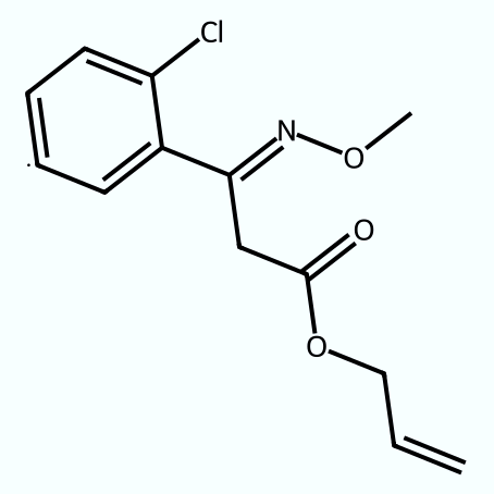 C=CCOC(=O)CC(=NOC)c1c[c]ccc1Cl